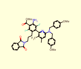 COC(=O)c1c(N)c(F)c(-c2nc(N(Cc3ccc(OC)cc3)Cc3ccc(OC)cc3)cc(C)c2C(F)(F)F)c(CCCN2C(=O)c3ccccc3C2=O)c1F